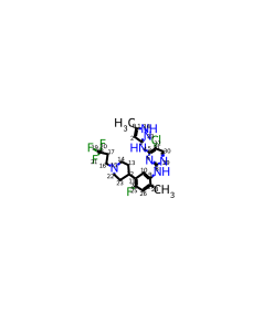 Cc1cc(Nc2nc(Nc3cc(C4CCN(CCC(F)(F)F)CC4)c(F)cc3C)ncc2Cl)n[nH]1